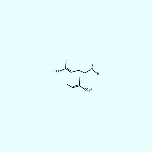 CC=C(C)C(=O)O.CCN(CC)CCC=C(C)C(=O)O